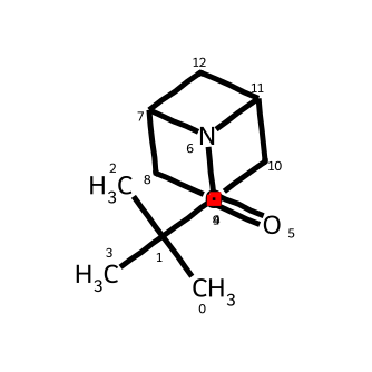 CC(C)(C)C(=O)N1C2COCC1C2